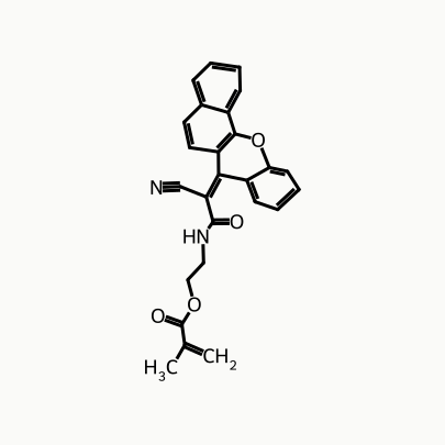 C=C(C)C(=O)OCCNC(=O)C(C#N)=C1c2ccccc2Oc2c1ccc1ccccc21